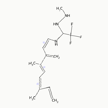 C=C/C(C)=C\C=C(/C)C(=C)/C=C\NC(NNC)C(F)(F)F